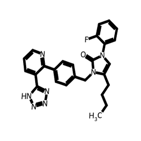 CCCCc1cn(-c2ccccc2F)c(=O)n1Cc1ccc(-c2ncccc2-c2nnn[nH]2)cc1